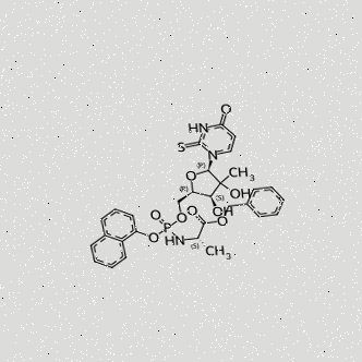 C[C@H](NP(=O)(OC[C@H]1O[C@@H](n2ccc(=O)[nH]c2=S)C(C)(O)[C@H]1O)Oc1cccc2ccccc12)C(=O)OCc1ccccc1